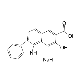 O=C(O)c1cc2ccc3c4ccccc4[nH]c3c2cc1O.[NaH]